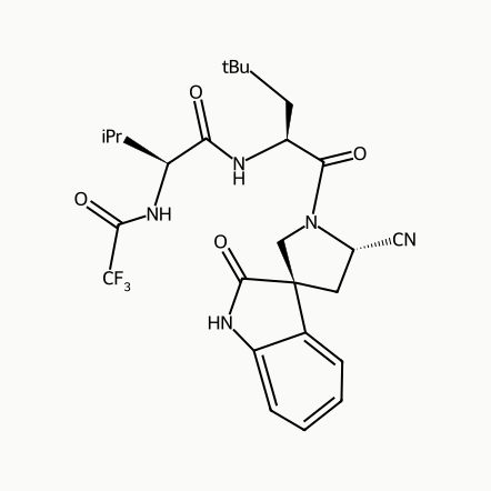 CC(C)[C@H](NC(=O)C(F)(F)F)C(=O)N[C@@H](CC(C)(C)C)C(=O)N1C[C@]2(C[C@H]1C#N)C(=O)Nc1ccccc12